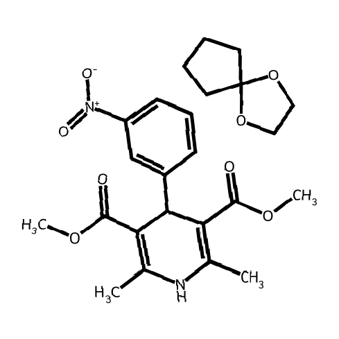 C1CCC2(C1)OCCO2.COC(=O)C1=C(C)NC(C)=C(C(=O)OC)C1c1cccc([N+](=O)[O-])c1